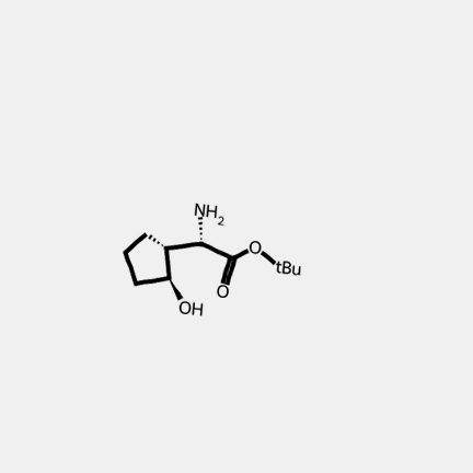 CC(C)(C)OC(=O)[C@@H](N)[C@H]1CCC[C@@H]1O